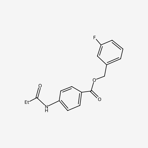 CCC(=O)Nc1ccc(C(=O)OCc2cccc(F)c2)cc1